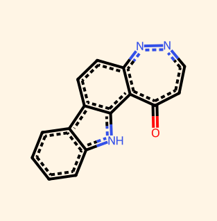 O=c1ccnnc2ccc3c4ccccc4[nH]c3c12